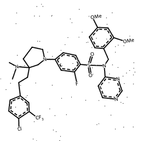 COc1ccc(CN(c2ccncn2)S(=O)(=O)c2ccc(N3CCCC(CCc4ccc(Cl)c(C(F)(F)F)c4)(N(C)C)C3)cc2F)c(OC)c1